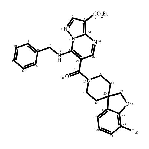 CCOC(=O)c1cnn2c(NCc3ccccc3)c(C(=O)N3CCC4(CC3)COc3c(F)cccc34)cnc12